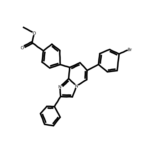 COC(=O)c1ccc(-c2cc(-c3ccc(Br)cc3)cn3cc(-c4ccccc4)nc23)cc1